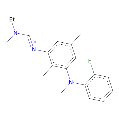 CCN(C)/C=N/c1cc(C)cc(N(C)c2ccccc2F)c1C